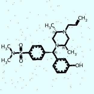 C=CCN1C[C@@H](C)N([C@H](c2ccc(S(=O)(=O)N(C)C)cc2)c2cccc(O)c2)C[C@@H]1C